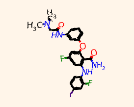 CN(C)CC(=O)Nc1cccc(Oc2cc(F)cc(Nc3ccc(I)cc3F)c2C(N)=O)c1